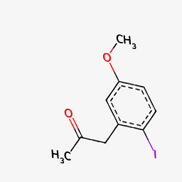 COc1ccc(I)c(CC(C)=O)c1